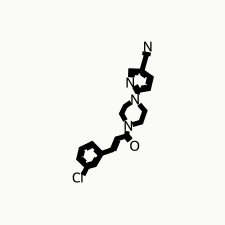 N#Cc1ccc(N2CCN(C(=O)C=Cc3cccc(Cl)c3)CC2)nc1